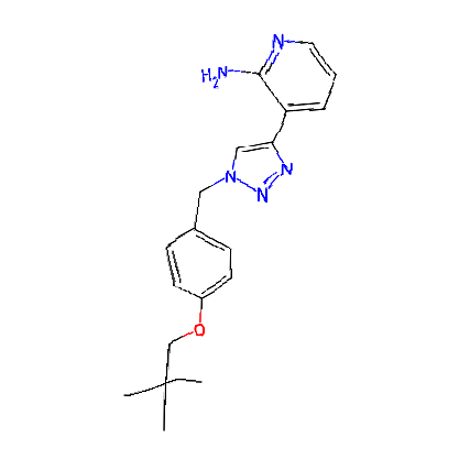 CC(C)(C)COc1ccc(Cn2cc(-c3cccnc3N)nn2)cc1